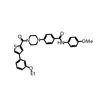 CCOc1cccc(-c2csc(C(=O)N3CCN(c4ccc(C(=O)Nc5ccc(OC)cc5)cc4)CC3)c2)c1